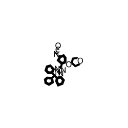 O=C=Nc1ccc(OC2CCOCC2)c(-c2nnn(C(c3ccccc3)(c3ccccc3)c3ccccc3)n2)c1